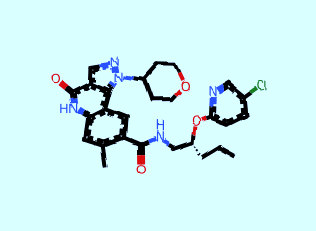 CCC[C@H](CNC(=O)c1cc2c(cc1C)[nH]c(=O)c1cnn(C3CCOCC3)c12)Oc1ccc(Cl)cn1